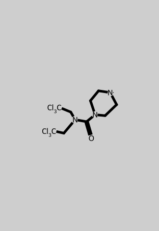 O=C(N1CC[N]CC1)N(CC(Cl)(Cl)Cl)CC(Cl)(Cl)Cl